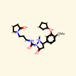 COc1ccc(C2CC(=O)N(C(=O)NCCCN3CCCC3=O)N2C)cc1OC1CCCC1